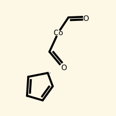 O=[CH][Co][CH]=O.[CH]1C=CC=C1